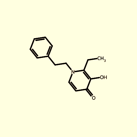 CCc1c(O)c(=O)ccn1CCc1ccccc1